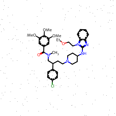 CCOCCn1c(NC2CCN(CCC(CN(C)C(=O)c3cc(OC)c(OC)c(OC)c3)c3ccc(Cl)cc3)CC2)nc2ccccc21